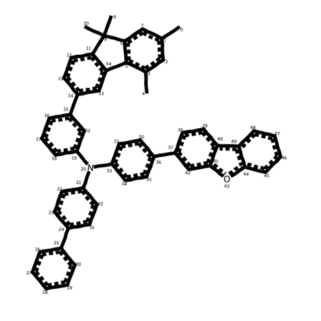 Cc1cc(C)c2c(c1)C(C)(C)c1ccc(-c3cccc(N(c4ccc(-c5ccccc5)cc4)c4ccc(-c5ccc6c(c5)oc5ccccc56)cc4)c3)cc1-2